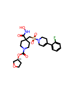 O=C(O[C@H]1CCOC1)N1CCC(CS(=O)(=O)N2CC=C(c3ccccc3F)CC2)(C(=O)NO)CC1